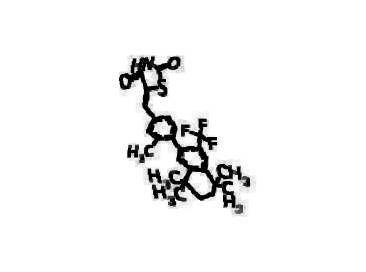 Cc1cc(/C=C2\SC(=O)NC2=O)ccc1-c1cc2c(cc1C(F)(F)F)C(C)(C)CCC2(C)C